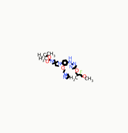 C=C(COc1cnc(Nc2ccc(N3CCC4(CN(C(=O)OC(C)(C)C)C4)C3)c(OCCn3cccn3)c2)nc1)/C(F)=C/OC